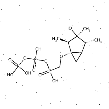 C[C@@H]1C2C[C@@]2(OCP(=O)(O)OP(=O)(O)OP(=O)(O)O)[C@@H](C)[C@@]1(C)O